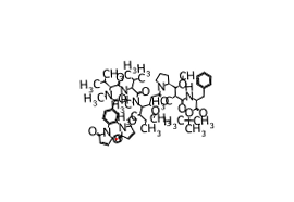 CCC(C)C(C(CC(=O)N1CCC[C@H]1C(OC)C(C)C(=O)NC(Cc1ccccc1)C(=O)OC(C)(C)C)OC)N(C)C(=O)C(NC(=O)[C@H](C(C)C)N(C)C(=O)c1ccc(N2C(=O)C=CC2=O)c(N2C(=O)C=CC2=O)c1)C(C)C